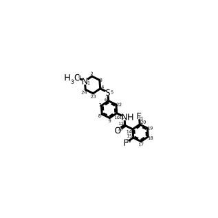 CN1CCC(Sc2cccc(NC(=O)c3c(F)cccc3F)c2)CC1